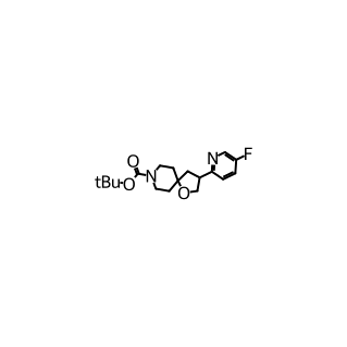 CC(C)(C)OC(=O)N1CCC2(CC1)CC(c1ccc(F)cn1)CO2